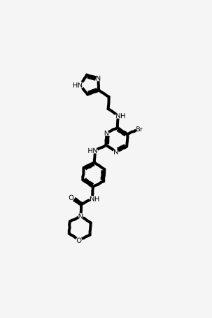 O=C(Nc1ccc(Nc2ncc(Br)c(NCCc3c[nH]cn3)n2)cc1)N1CCOCC1